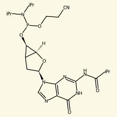 CC(C)C(=O)Nc1nc2c(ncn2[C@H]2CC3[C@@H](OP(OCCC#N)N(C(C)C)C(C)C)[C@H]3O2)c(=O)[nH]1